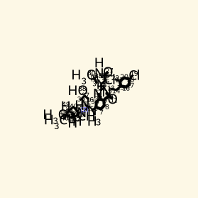 C[C@@H]1[C@@H](/N=C(/Nc2ccc3c(=O)n(CCc4ccc(Cl)cc4Cl)c(N4CC(=O)N[C@@H](C)C4)nc3c2)N2CC(O)C2)C[C@H]2C[C@@H]1C2(C)C